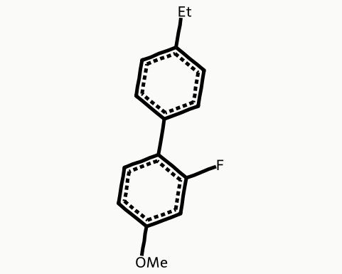 CCc1ccc(-c2ccc(OC)cc2F)cc1